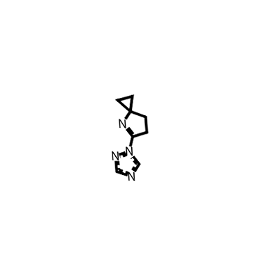 c1ncn(C2=NC3(CC2)CC3)n1